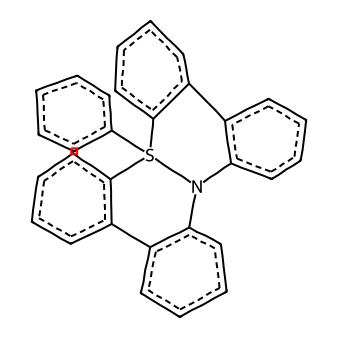 c1ccc(S23c4ccccc4-c4ccccc4N2c2ccccc2-c2ccccc23)cc1